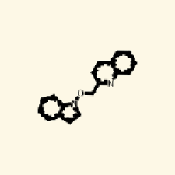 c1ccc2nc(COn3ccc4ccccc43)ccc2c1